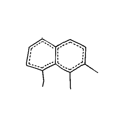 Cc1ccc2[c]ccc(C)c2c1C